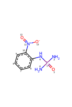 NP(N)(=O)Nc1ccccc1[N+](=O)[O-]